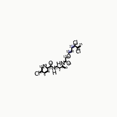 C=C(CCNC(=O)c1ccc(Cl)cn1)NC(=O)CO/C=C/C=C(/Cl)C(=C)Cl